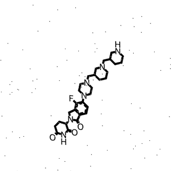 O=C1CCC(N2Cc3c(ccc(N4CCN(CC5CCCN(CC6CCCNC6)C5)CC4)c3F)C2=O)C(=O)N1